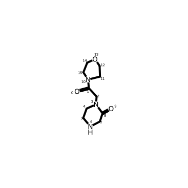 O=C(CN1CCNCC1=O)N1CCOCC1